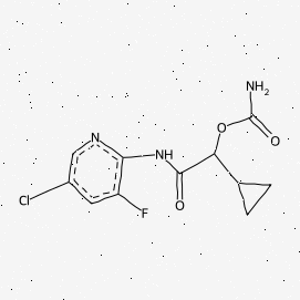 NC(=O)OC(C(=O)Nc1ncc(Cl)cc1F)C1CC1